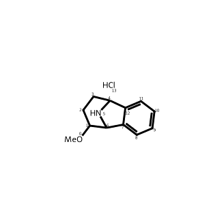 COC1CCC2NC1c1ccccc12.Cl